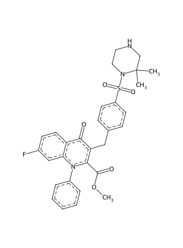 COC(=O)c1c(Cc2ccc(S(=O)(=O)N3CCNCC3(C)C)cc2)c(=O)c2ccc(F)cc2n1-c1ccccc1